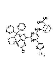 Cc1ccc(-c2cc(NC3C4CCC(CC4)C3C(=O)O)nc(-c3cn(C(c4ccccc4)(c4ccccc4)c4ccccc4)c4ncc(Cl)nc34)n2)s1